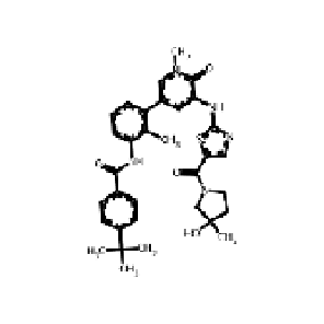 Cc1c(NC(=O)c2ccc(C(C)(C)C)cc2)cccc1-c1cc(Nc2ncc(C(=O)N3CCC(C)(O)C3)s2)c(=O)n(C)c1